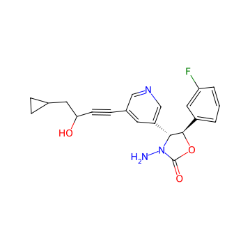 NN1C(=O)O[C@H](c2cccc(F)c2)[C@H]1c1cncc(C#CC(O)CC2CC2)c1